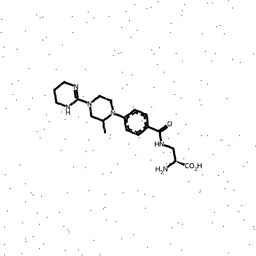 CC1CN(C2=NCCCN2)CCN1c1ccc(C(=O)NC[C@H](N)C(=O)O)cc1